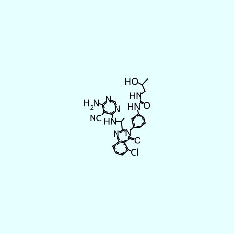 CC(O)CNC(=O)Nc1cccc(-n2c(C(C)Nc3ncnc(N)c3C#N)nc3cccc(Cl)c3c2=O)c1